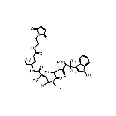 CNC(C(=O)NC(C(=O)N(C)C(/C=C(\C)C(=O)NC(CCC(=O)NCCN1C(=O)C=CC1=O)CC(=O)O)C(C)C)C(C)(C)C)C(C)(C)c1cn(C)c2ccccc12